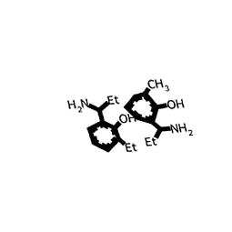 CCC(N)c1cccc(C)c1O.CCc1cccc(C(N)CC)c1O